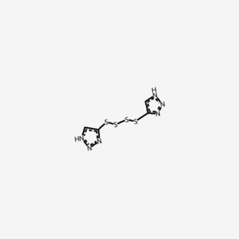 c1[nH]nnc1SSSSc1c[nH]nn1